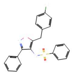 O=S(=O)(Nc1c(-c2ccccc2)noc1Cc1ccc(Cl)cc1)c1ccccc1